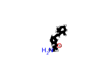 CC1=C(C=Cc2cccc(C(=O)C(C)(C)CN)c2)C(C)(C)CCC1